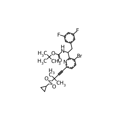 CC(C)(C)OC(=O)NC(Cc1cc(F)cc(F)c1)c1nc(C#CC(C)(C)S(=O)(=O)C2CC2)ccc1Br